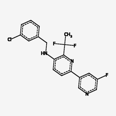 CC(F)(F)c1nc(-c2cncc(F)c2)ccc1NCc1cccc(Cl)c1